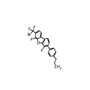 CCCc1ccc(-c2ccc3c(oc4c(F)c(C(F)(F)Br)ccc43)c2F)cc1